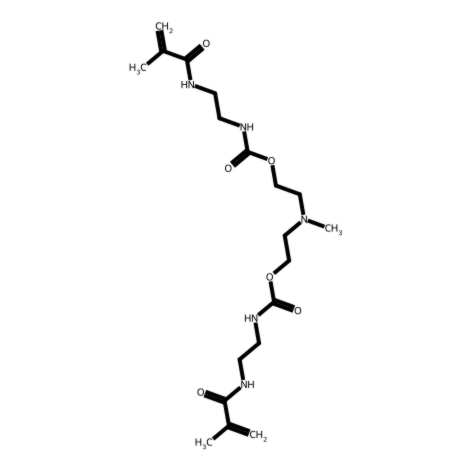 C=C(C)C(=O)NCCNC(=O)OCCN(C)CCOC(=O)NCCNC(=O)C(=C)C